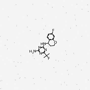 CC(C)(F)c1nc(N)nc(NC2CCOc3cc(F)ccc32)n1